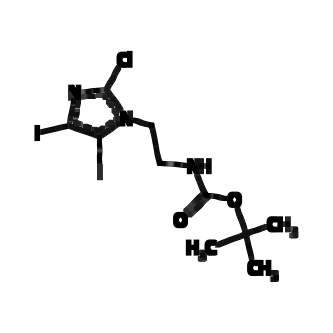 CC(C)(C)OC(=O)NCCn1c(Cl)nc(I)c1I